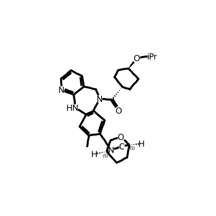 Cc1cc2c(cc1N1C[C@@H]3CC[C@H]1CO3)N(C(=O)[C@H]1CC[C@H](OC(C)C)CC1)Cc1cccnc1N2